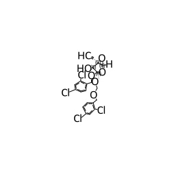 C#C[C@]12O[C@@H]1O[C@@](COCOCc1ccc(Cl)cc1Cl)(OCc1ccc(Cl)cc1Cl)[C@H]2O